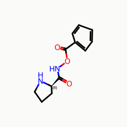 O=C(ONC(=O)[C@H]1CCCN1)c1ccccc1